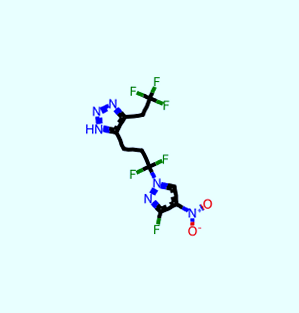 O=[N+]([O-])c1cn(C(F)(F)CCc2[nH]nnc2CC(F)(F)F)nc1F